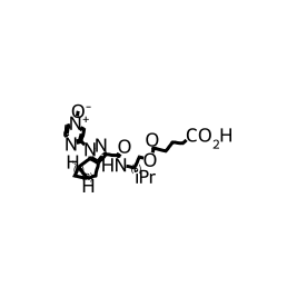 CC(C)[C@@H](COC(=O)CCCC(=O)O)NC(=O)c1nn(-c2c[n+]([O-])ccn2)c2c1C[C@H]1C[C@@H]21